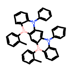 Cc1ccccc1B1c2ccccc2N(c2ccccc2)c2cc3c(cc21)B(c1ccccc1C)c1ccccc1N3c1ccccc1